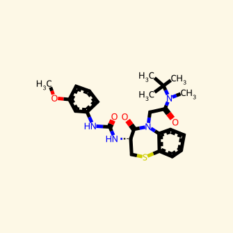 COc1cccc(NC(=O)N[C@H]2CSc3ccccc3N(CC(=O)N(C)C(C)(C)C)C2=O)c1